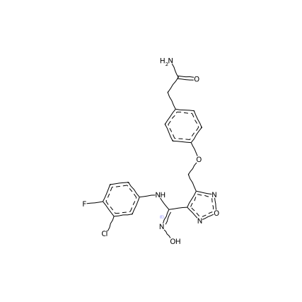 NC(=O)Cc1ccc(OCc2nonc2/C(=N\O)Nc2ccc(F)c(Cl)c2)cc1